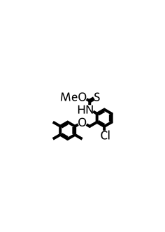 COC(=S)Nc1cccc(Cl)c1COc1cc(C)c(C)cc1C